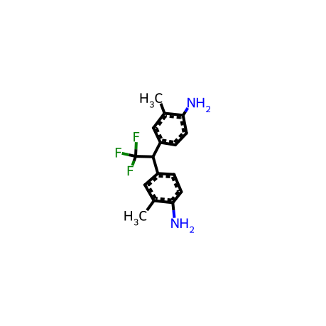 Cc1cc(C(c2ccc(N)c(C)c2)C(F)(F)F)ccc1N